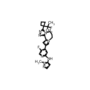 Cn1nccc1Nc1cc(-c2cc3n(c2)CCCn2c-3nnc2C2(C(C)(C)F)CCC2)c(F)cn1